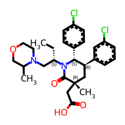 CC[C@@H](CN1CCOCC1C)N1C(=O)[C@@](C)(CC(=O)O)C[C@H](c2cccc(Cl)c2)[C@H]1c1ccc(Cl)cc1